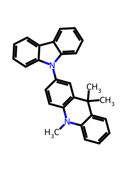 CN1c2ccccc2C(C)(C)c2cc(-n3c4ccccc4c4ccccc43)ccc21